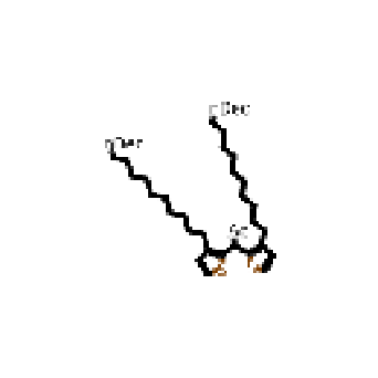 CCCCCCCCCCCCCCCCCCCCc1ccsc1C(C(C)=O)c1sccc1CCCCCCCCCCCCCCCCCCCC